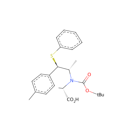 Cc1ccc([C@@H](Sc2ccccc2)[C@H](C)N(C(=O)OC(C)(C)C)[C@@H](C)C(=O)O)cc1